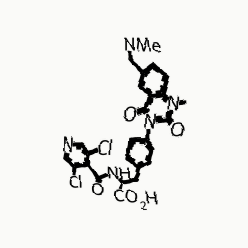 CNCc1ccc2c(c1)c(=O)n(-c1ccc(C[C@H](NC(=O)c3c(Cl)cncc3Cl)C(=O)O)cc1)c(=O)n2C